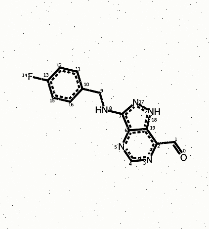 O=Cc1ncnc2c(NCc3ccc(F)cc3)n[nH]c12